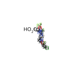 O=C(O)c1cc(OC(F)F)c2c(c1)nc(CN1CCC(c3cccc(OCc4ccc(Cl)cc4F)n3)CC1)n2CF